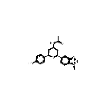 CC(=O)N[C@H]1C[C@@H](c2ccc3c(c2)nnn3C)O[C@@H](c2ccc(O)cc2)C1